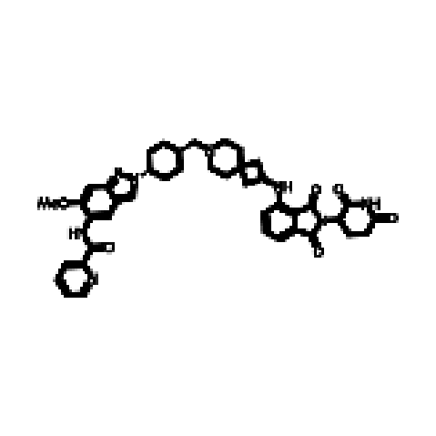 COc1cc2nn([C@H]3CC[C@H](CN4CCC5(CC4)CC(Nc4cccc6c4C(=O)N(C4CCC(=O)NC4=O)C6=O)C5)CC3)cc2cc1NC(=O)c1ccccn1